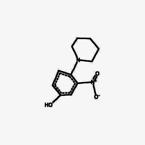 O=[N+]([O-])c1cc(O)ccc1N1CCCCC1